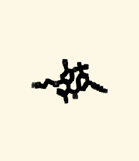 C=C(C)C(Nc1cc(OC)cc(S(C)(=O)=O)c1)c1ccc(Cl)cc1OCCO